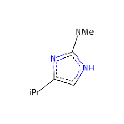 CNc1nc(C(C)C)c[nH]1